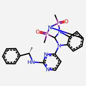 C[C@H](Nc1nccc(N2c3ccc4cc3N3C2P(C)(=O)N4P3(C)=O)n1)c1ccccc1